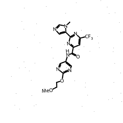 COCCOc1ncc(NC(=O)c2cc(C(F)(F)F)nc(-c3cncn3C)n2)cn1